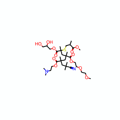 COCCOCCOC(=O)C(C)(CC(C)(CC(C)(C)C#N)C(=O)OCCN(C)C)CC(C)(SCC(C)C(=O)OC)C(=O)OCC(O)CO